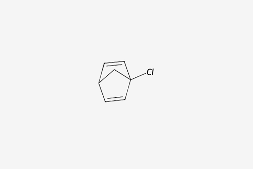 ClC12C=CC(C=C1)C2